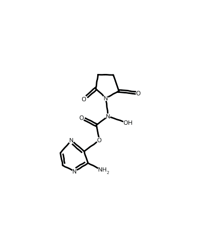 Nc1nccnc1OC(=O)N(O)N1C(=O)CCC1=O